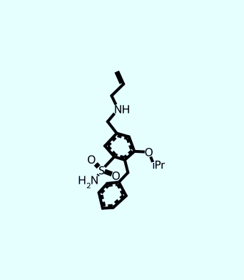 C=CCNCc1cc(OC(C)C)c(Cc2ccccc2)c(S(N)(=O)=O)c1